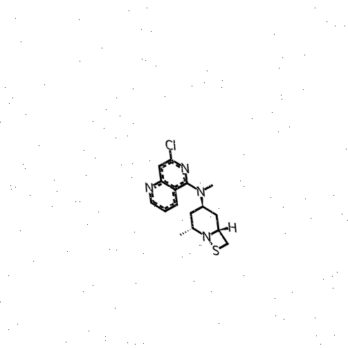 C[C@@H]1C[C@@H](N(C)c2nc(Cl)cc3ncccc23)C[C@@H]2CSN21